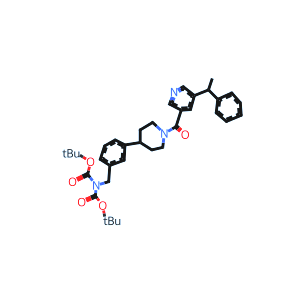 CC(c1ccccc1)c1cncc(C(=O)N2CCC(c3cccc(CN(C(=O)OC(C)(C)C)C(=O)OC(C)(C)C)c3)CC2)c1